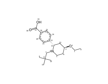 CCO[C@H]1CCN(CC(C)(C)C)[C@H](c2ccc(C(=O)O)cc2)C1